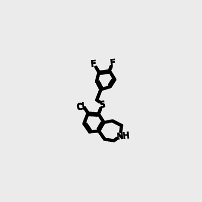 Fc1ccc(CSc2c(Cl)ccc3c2CCNCC3)cc1F